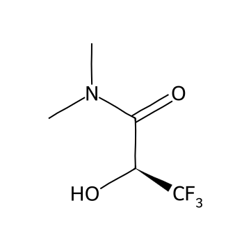 CN(C)C(=O)[C@H](O)C(F)(F)F